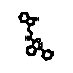 O=C(NCCc1c[nH]c2ccccc12)c1ccccc1Nc1cccnc1